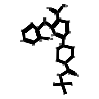 CC(C)(C)OC(=O)N1CCN(c2ccc([N+](=O)[O-])c(Nc3ccncc3F)n2)CC1